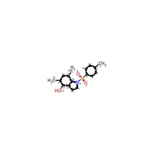 Cc1ccc(S(=O)(=O)n2ccc3c(O)c(C)cc(C)c32)cc1